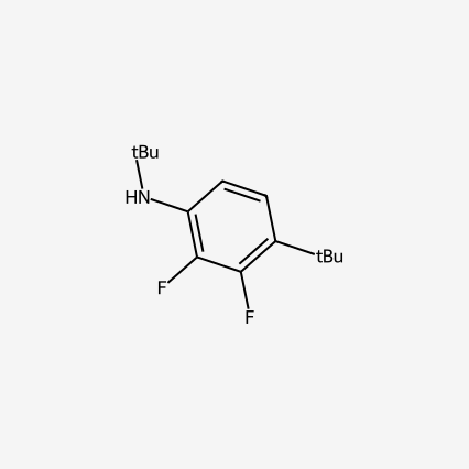 CC(C)(C)Nc1ccc(C(C)(C)C)c(F)c1F